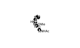 COc1c(Oc2ccnc(NC(C)=O)c2)cnc2nc(Nc3cc(C(C)(C)C)n([C@H]4CCOC45CC5)n3)n(C)c12